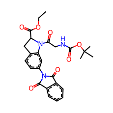 CCOC(=O)C1Cc2ccc(N3C(=O)c4ccccc4C3=O)cc2N1C(=O)CNC(=O)OC(C)(C)C